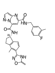 C=C1NC(c2ccc3c(c2C)CC[C@@H]3NC(=O)c2cc(C(=O)NCc3ccc(F)c(C)c3)nc3ccnn23)=NO1